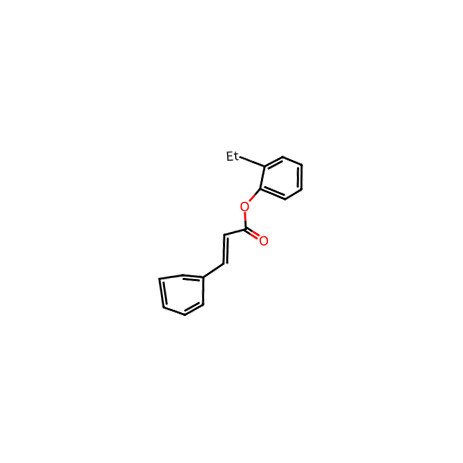 CCc1ccccc1OC(=O)C=Cc1ccccc1